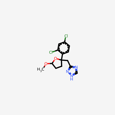 COC1CCC(Cc2nc[nH]n2)(c2ccc(Cl)cc2Cl)O1